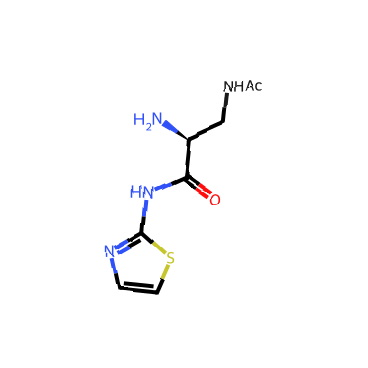 CC(=O)NC[C@H](N)C(=O)Nc1nccs1